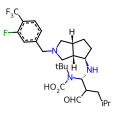 CC(C)CC(C=O)[C@@H](N[C@@H]1CC[C@H]2CN(Cc3ccc(C(F)(F)F)c(F)c3)C[C@H]21)N(C(=O)O)C(C)(C)C